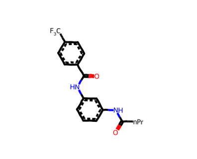 CCCC(=O)Nc1cccc(NC(=O)c2ccc(C(F)(F)F)cc2)c1